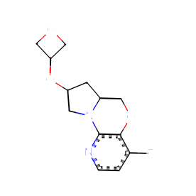 CCc1ccnc2c1OCC1CC(OC3COC3)CN21